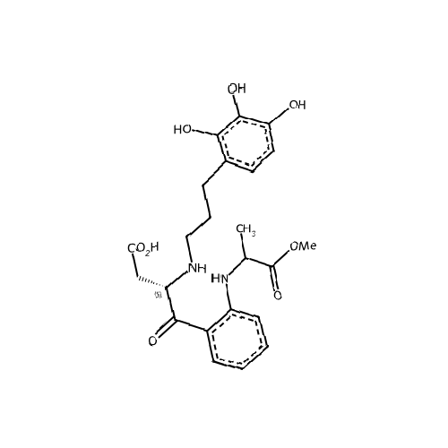 COC(=O)C(C)Nc1ccccc1C(=O)[C@H](CC(=O)O)NCCCc1ccc(O)c(O)c1O